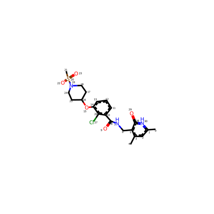 Cc1cc(C)c(CNC(=O)c2cccc(OC3CCN(S(C)(=O)=O)CC3)c2Cl)c(=O)[nH]1